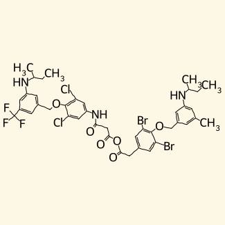 CCC(C)Nc1cc(C)cc(COc2c(Br)cc(CC(=O)OC(=O)CC(=O)Nc3cc(Cl)c(OCc4cc(NC(C)CC)cc(C(F)(F)F)c4)c(Cl)c3)cc2Br)c1